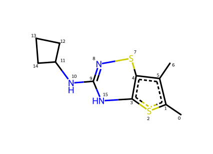 Cc1sc2c(c1C)SN=C(NC1CCC1)N2